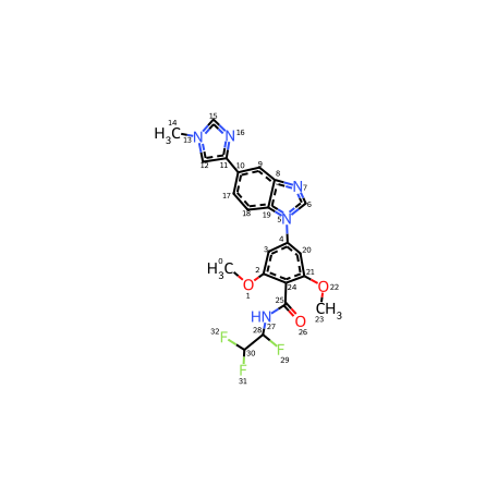 COc1cc(-n2cnc3cc(-c4cn(C)cn4)ccc32)cc(OC)c1C(=O)NC(F)C(F)F